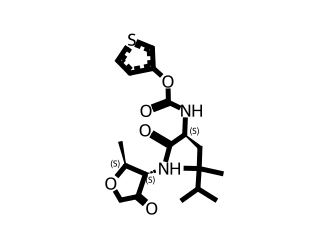 CC(C)C(C)(C)C[C@H](NC(=O)Oc1ccsc1)C(=O)N[C@@H]1C(=O)CO[C@H]1C